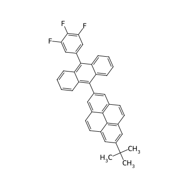 CC(C)(C)c1cc2ccc3cc(-c4c5ccccc5c(-c5cc(F)c(F)c(F)c5)c5ccccc45)cc4ccc(c1)c2c34